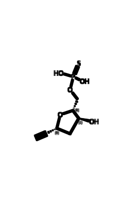 C#C[C@H]1C[C@H](O)[C@@H](COP(O)(O)=S)O1